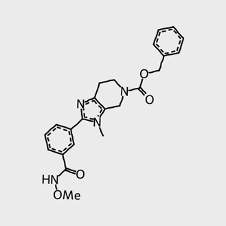 CONC(=O)c1cccc(-c2nc3c(n2C)CN(C(=O)OCc2ccccc2)CC3)c1